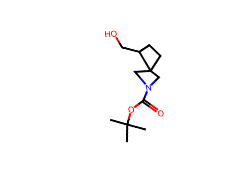 CC(C)(C)OC(=O)N1CC2(CCC2CO)C1